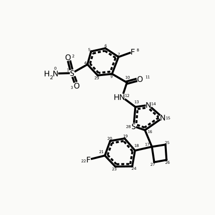 NS(=O)(=O)c1ccc(F)c(C(=O)Nc2nnc(C3(c4ccc(F)cc4)CCC3)s2)c1